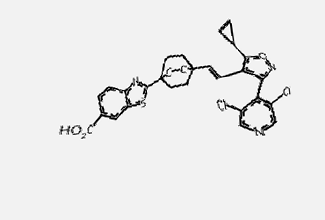 O=C(O)c1ccc2nc(C34CCC(/C=C/c5c(-c6c(Cl)cncc6Cl)noc5C5CC5)(CC3)CC4)sc2c1